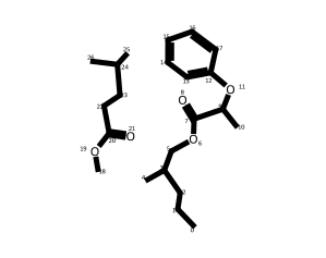 CCCC(C)COC(=O)C(C)Oc1ccccc1.COC(=O)CCC(C)C